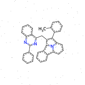 Cc1ccccc1-c1c(Cc2nc(-c3ccccc3)nc3ccccc23)c2c3ccccc3c3cccc1n32